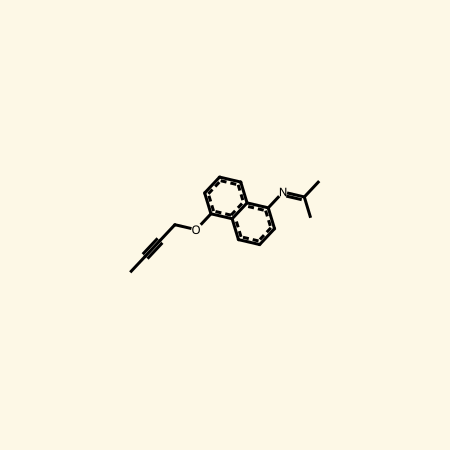 CC#CCOc1cccc2c(N=C(C)C)cccc12